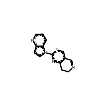 C1=NCCc2nc(-n3ccc4ncccc43)ncc21